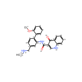 CCOc1ccccc1-c1ccc(CNC(=O)O)cc1NC(=O)c1c[nH]c2ccccc2c1=O